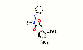 CCN1C(=O)/C(=C\c2ccc(OC)cc2OC)OC1=Nc1ccccc1